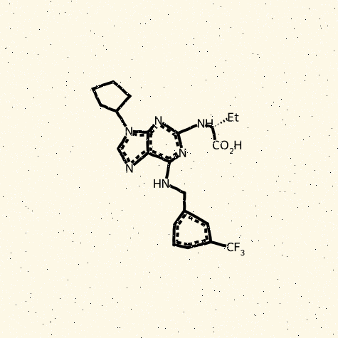 CC[C@@H](Nc1nc(NCc2cccc(C(F)(F)F)c2)c2ncn(C3CCCC3)c2n1)C(=O)O